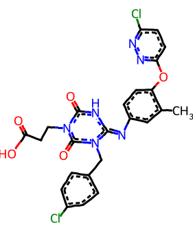 Cc1cc(/N=c2\[nH]c(=O)n(CCC(=O)O)c(=O)n2Cc2ccc(Cl)cc2)ccc1Oc1ccc(Cl)nn1